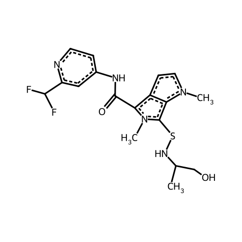 CC(CO)NSc1c2c(ccn2C)c(C(=O)Nc2ccnc(C(F)F)c2)n1C